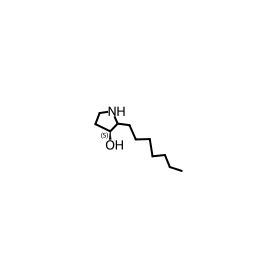 CCCCCCCC1NCC[C@@H]1O